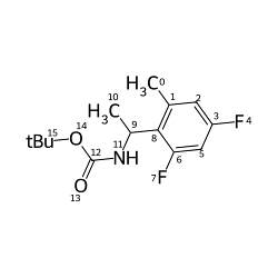 Cc1cc(F)cc(F)c1C(C)NC(=O)OC(C)(C)C